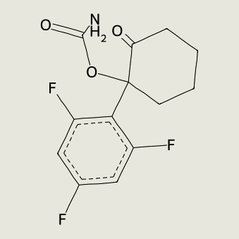 NC(=O)OC1(c2c(F)cc(F)cc2F)CCCCC1=O